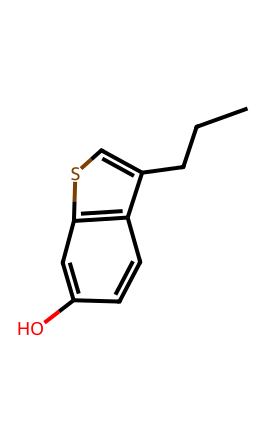 CCCc1csc2cc(O)ccc12